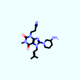 CC(C)=CCn1c(N2CCCC(N)C2)nc2c1c(=O)n(C)c(=O)n2CCC#N